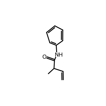 C=CC(C)C(=O)Nc1ccccc1